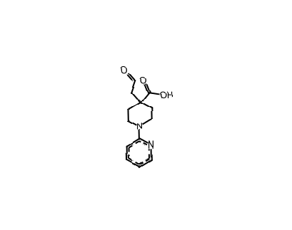 O=CCC1(C(=O)O)CCN(c2ccccn2)CC1